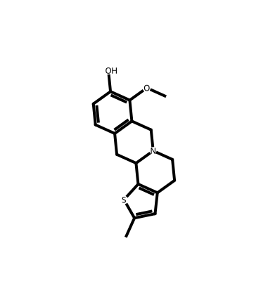 COc1c(O)ccc2c1CN1CCc3cc(C)sc3C1C2